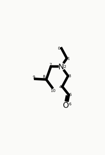 CCN(CCC=O)CC(C)C